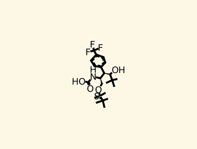 CC(C)(C)C(O)[C@H](c1ccc(C(F)(F)F)cc1)[C@@H](CO[Si](C)(C)C(C)(C)C)NC(=O)O